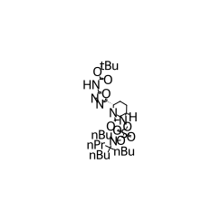 CCCCN(OS(=O)(=O)ON1C(=O)N2C[C@@H]1CC[C@H]2c1nnc(NC(=O)OC(C)(C)C)o1)C(CCC)(CCCC)CCCC